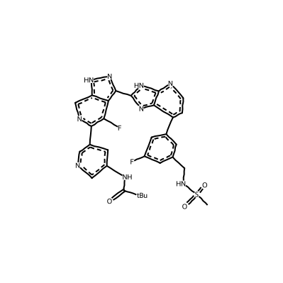 CC(C)(C)C(=O)Nc1cncc(-c2ncc3[nH]nc(-c4nc5c(-c6cc(F)cc(CNS(C)(=O)=O)c6)ccnc5[nH]4)c3c2F)c1